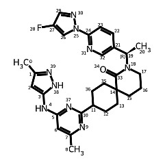 Cc1cc(Nc2cc(C)nc(C3CCC4(CCCN([C@H](C)c5ccc(-n6cc(F)cn6)nc5)C4=O)CC3)n2)[nH]n1